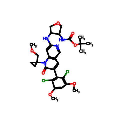 COCC1(n2c(=O)c(-c3c(Cl)c(OC)cc(OC)c3Cl)cc3cnc(NC4COCC4NC(=O)OC(C)(C)C)cc32)CC1